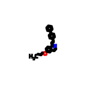 CCCCOc1ccc2c(c1)CCN=C2C=Cc1ccc(-c2ccccc2)cc1